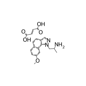 COc1ccc2ccc3cnn(CC(C)N)c3c2c1.O=C(O)C=CC(=O)O